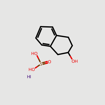 I.O=S(O)O.OC1CCc2ccccc2C1